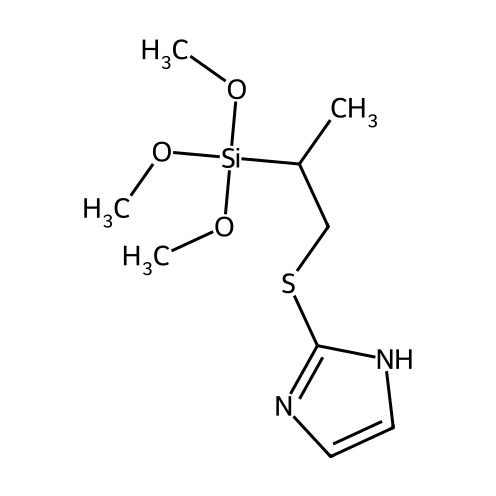 CO[Si](OC)(OC)C(C)CSc1ncc[nH]1